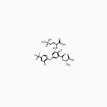 CP(=O)(O)CCC(N)C(=O)O.C[C@H](OC(=O)c1cc(Oc2ccc(C(F)(F)F)cc2Cl)ccc1Cl)C(=O)O